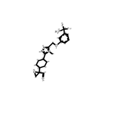 Cn1c(COc2cccc(C(F)(F)P)c2)nnc1C1CCC(C2(C=O)CO2)CC1